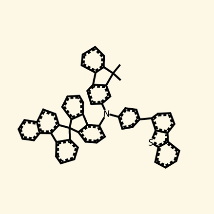 CC1(C)c2ccccc2-c2ccc(N(c3ccc(-c4cccc5c4sc4ccccc45)cc3)c3cccc4c3-c3ccccc3C43c4ccccc4-c4c3ccc3ccccc43)cc21